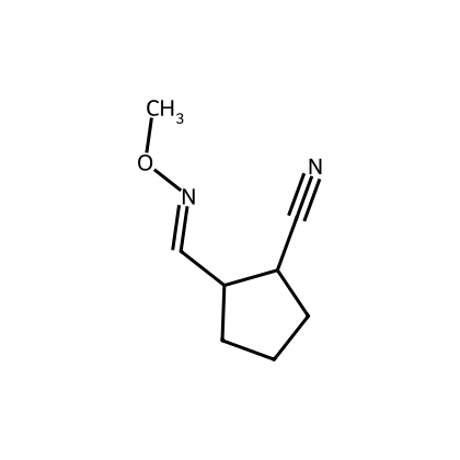 CON=CC1CCCC1C#N